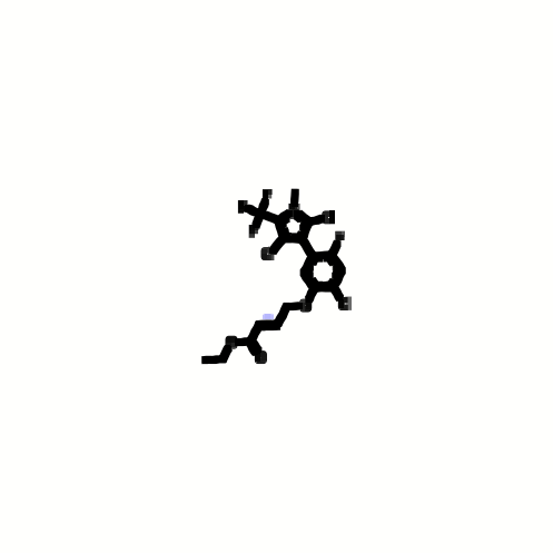 CCOC(=O)/C=C/COc1cc(-c2c(Cl)c(C(F)(F)F)n(C)c2Cl)c(F)cc1Cl